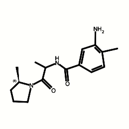 Cc1ccc(C(=O)NC(C)C(=O)N2CCC[C@H]2C)cc1N